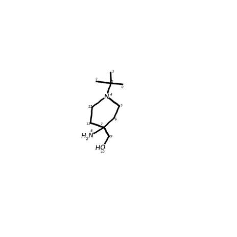 CC(C)(C)N1CCC(N)(CO)CC1